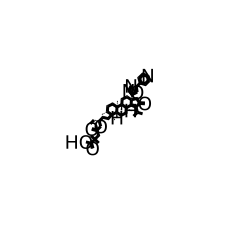 CC[C@H](CC[C@@]1(C)[C@H](C)CC[C@]2(C)[C@@H]1CC[C@@H]1C3=C(C(C)C)C(=O)C[C@]3(c3nnc(-c4ccncc4)o3)CC[C@]12C)OC(=O)CC(C)(C)C(=O)O